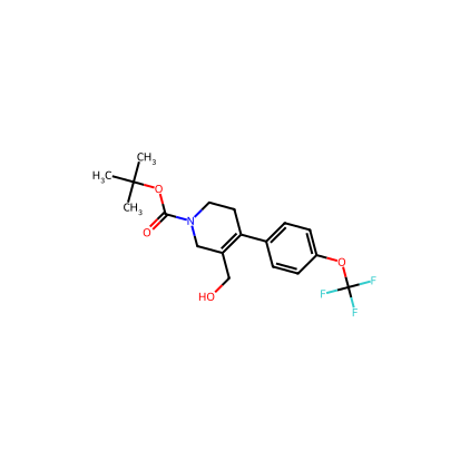 CC(C)(C)OC(=O)N1CCC(c2ccc(OC(F)(F)F)cc2)=C(CO)C1